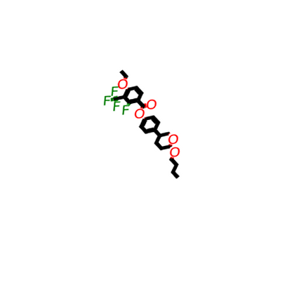 CCCCOC1CCC(c2ccc(OC(=O)c3ccc(OCC)c(C(F)(F)F)c3F)cc2)CO1